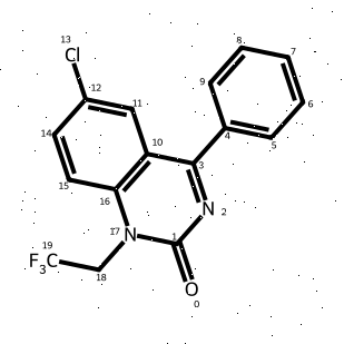 O=c1nc(-c2ccccc2)c2cc(Cl)ccc2n1CC(F)(F)F